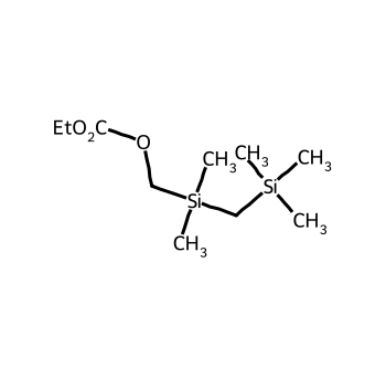 CCOC(=O)OC[Si](C)(C)C[Si](C)(C)C